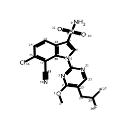 COc1nc(-n2cc(S(N)(=O)=O)c3ccc(Cl)c(C#N)c32)ncc1CC(F)F